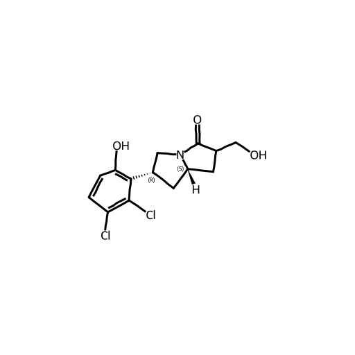 O=C1C(CO)C[C@@H]2C[C@H](c3c(O)ccc(Cl)c3Cl)CN12